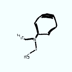 CN(SS)c1ccccc1